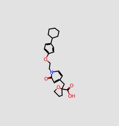 O=C(O)C1(Cc2ccn(CCOc3ccc(C4CCCCC4)cc3)c(=O)c2)CCCO1